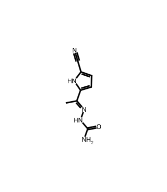 CC(=NNC(N)=O)c1ccc(C#N)[nH]1